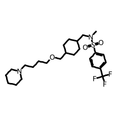 CN(CC1CCC(COCCCCN2CCCCC2)CC1)S(=O)(=O)c1ccc(C(F)(F)F)cc1